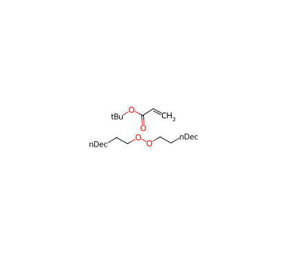 C=CC(=O)OC(C)(C)C.CCCCCCCCCCCCOOCCCCCCCCCCCC